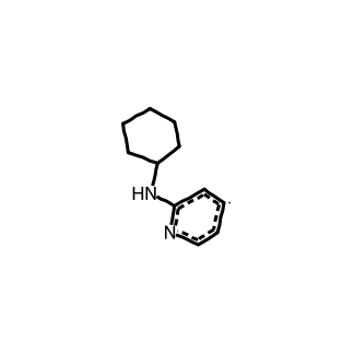 [c]1ccnc(NC2CCCCC2)c1